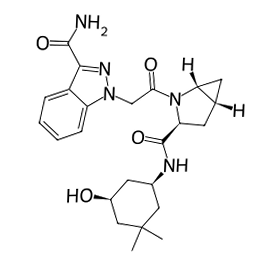 CC1(C)C[C@@H](O)C[C@@H](NC(=O)[C@@H]2C[C@H]3C[C@H]3N2C(=O)Cn2nc(C(N)=O)c3ccccc32)C1